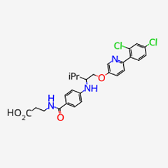 CC(C)C(COc1ccc(-c2ccc(Cl)cc2Cl)nc1)Nc1ccc(C(=O)NCCC(=O)O)cc1